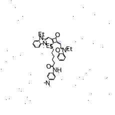 CCN1C(=CC2=C(SCCCCCC(=O)Nc3ccc(N(C)C)cc3)/C(=C\c3oc4ccccc4[n+]3CC)C2=O)N(CC)c2ccccc21